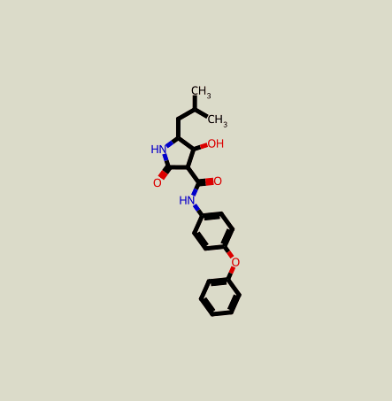 CC(C)CC1NC(=O)C(C(=O)Nc2ccc(Oc3ccccc3)cc2)C1O